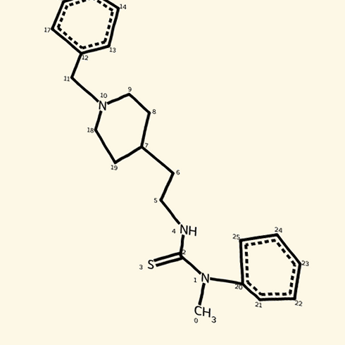 CN(C(=S)NCCC1CCN(Cc2ccccc2)CC1)c1ccccc1